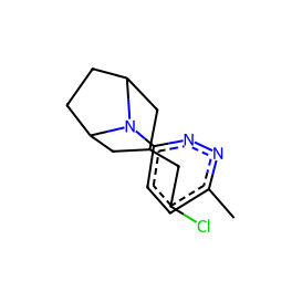 Cc1ccc(N2C3CCC2CC(CCCl)C3)nn1